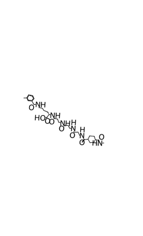 CNC(=O)C1CCC(C(=O)NCCC(=O)NCCC(=O)NCCC(=O)N[C@H](CCCCNC(=O)c2cccc(C)c2)C(=O)O)CC1